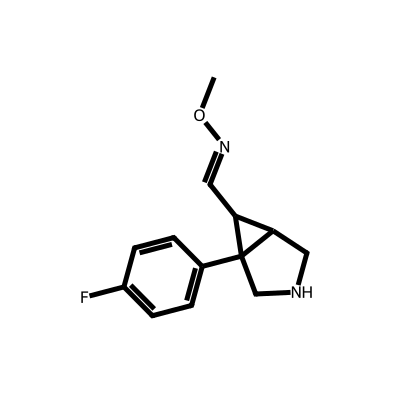 CON=CC1C2CNCC12c1ccc(F)cc1